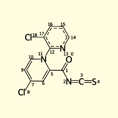 O=C(N=C=S)C1=CC(Cl)=C=CN1c1ncccc1Cl